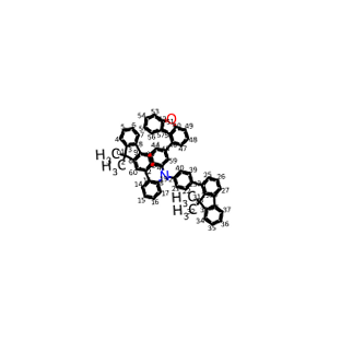 CC1(C)c2ccccc2-c2ccc(-c3ccccc3N(c3ccc(-c4cccc5c4C(C)(C)c4ccccc4-5)cc3)c3cccc(-c4cccc5oc6ccccc6c45)c3)cc21